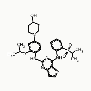 CC(C)Oc1cc(N2CCC(O)CC2)ccc1Nc1nc(Nc2ccccc2S(=O)(=O)C(C)C)c2sccc2n1